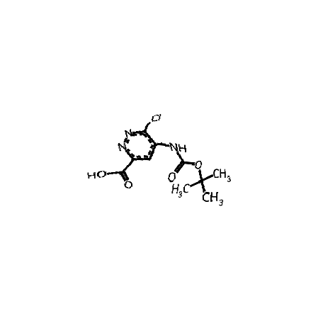 CC(C)(C)OC(=O)Nc1cc(C(=O)O)nnc1Cl